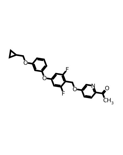 CC(=O)c1ccc(OCc2c(F)cc(Oc3cccc(OCC4CC4)c3)cc2F)cn1